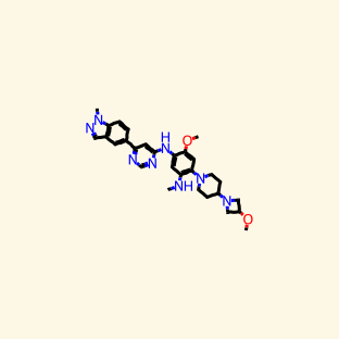 CNc1cc(Nc2cc(-c3ccc4c(cnn4C)c3)ncn2)c(OC)cc1N1CCC(N2CC(OC)C2)CC1